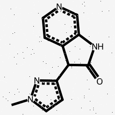 Cn1ccc(C2C(=O)Nc3cnccc32)n1